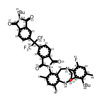 Cc1cc(F)c2c(c1N1C(=O)c3ccc(C(c4ccc5c(c4)C(=O)N(C(C)(C)C)C5=O)(C(F)(F)F)C(F)(F)F)cc3C1=O)CN1CCN2Cc2c1c(F)cc(C)c2C(C)(C)C